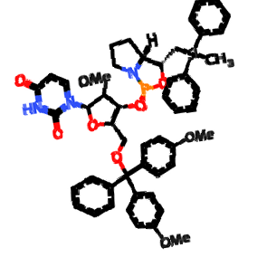 COc1ccc(C(OC[C@H]2O[C@@H](n3ccc(=O)[nH]c3=O)C(OC)[C@H]2O[P@]2O[C@@H](C[Si](C)(c3ccccc3)c3ccccc3)[C@H]3CCCN32)(c2ccccc2)c2ccc(OC)cc2)cc1